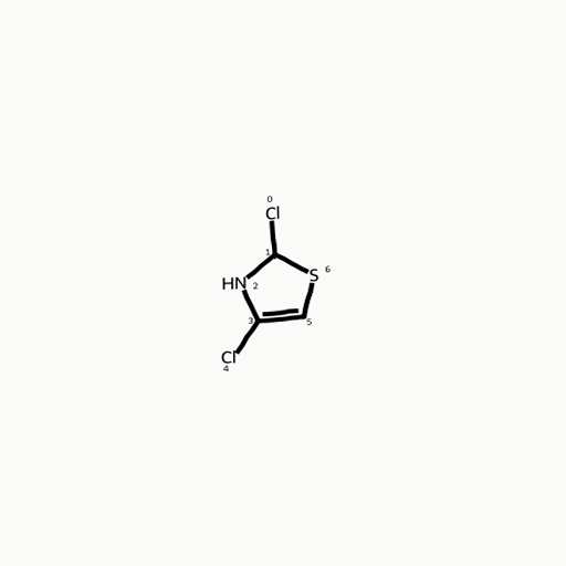 Cl[C]1NC(Cl)=CS1